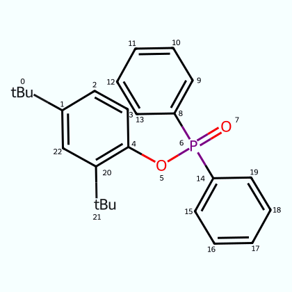 CC(C)(C)c1ccc(OP(=O)(c2ccccc2)c2ccccc2)c(C(C)(C)C)c1